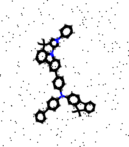 CC1(C)c2ccccc2-c2ccc(N(c3ccc(-c4ccccc4)cc3)c3ccc(-c4ccc5c(c4)c4cccc6c4n5-c4cn(-c5ccccc5)cc4C6(C)C)cc3)cc21